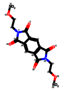 O=c1c2cc3c(=O)n(CCO[N+](=O)[O-])c(=O)c3cc2c(=O)n1CCO[N+](=O)[O-]